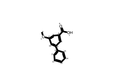 COc1cc(C(=O)O)cc(-c2ccccc2)c1